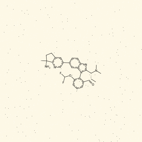 CC[C@H](c1nc2ccc(-c3cnc4c(c3)CCC4(C)N)cc2n1-c1c(C=O)cccc1OC(F)F)N(C)C